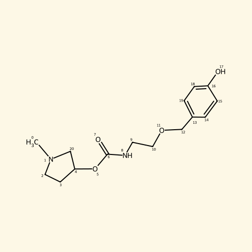 CN1CCC(OC(=O)NCCOCc2ccc(O)cc2)C1